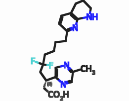 Cc1cnc([C@H](CC(=O)O)CC(F)(F)CCCCc2ccc3c(n2)NCCC3)cn1